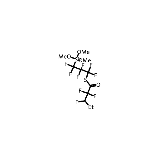 CCC(F)C(F)(F)C(=O)SC(F)(F)C(F)(F)C(F)(F)[Si](OC)(OC)OC